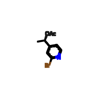 CC(=O)O[C@H](C)c1ccnc(Br)c1